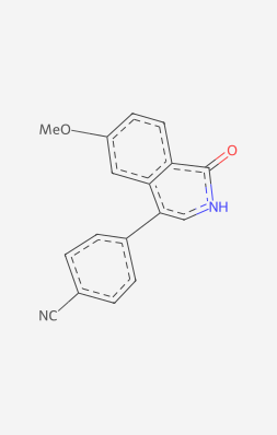 COc1ccc2c(=O)[nH]cc(-c3ccc(C#N)cc3)c2c1